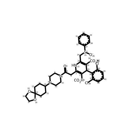 O=C(O)C1=C(CC(=O)N2CCN(C3CCC4(CC3)OCCO4)CC2)NC(C[S+]([O-])c2ccccc2)=C(C(=O)O)C1c1c(Cl)cccc1Cl